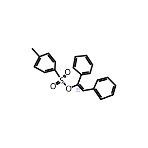 Cc1ccc(S(=O)(=O)O/C(=C/c2ccccc2)c2ccccc2)cc1